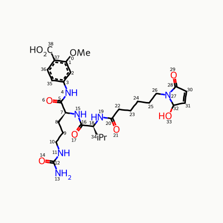 COc1cc(NC(=O)[C@H](CCCNC(N)=O)NC(=O)[C@@H](NC(=O)CCCCCN2C(=O)C=CC2O)C(C)C)ccc1C(=O)O